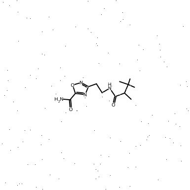 CC(C(=O)NCCc1noc(C(N)=O)n1)C(C)(C)C